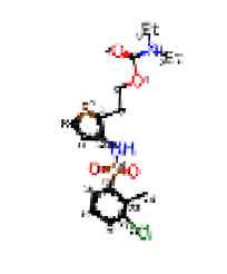 CCN(CC)C(=O)OCCc1sccc1NS(=O)(=O)c1cccc(Cl)c1C